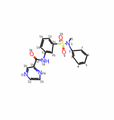 CN(c1ccccc1)S(=O)(=O)c1cccc(NC(=O)c2cnccn2)c1